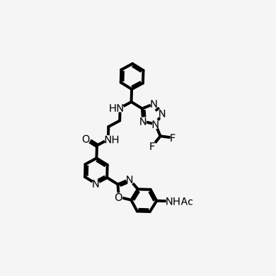 CC(=O)Nc1ccc2oc(-c3cc(C(=O)NCCNC(c4ccccc4)c4nnn(C(F)F)n4)ccn3)nc2c1